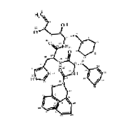 C=C[C@@H](C[C@@H](O)[C@H](CC1CCCCC1)NC(=O)[C@H](Cc1c[nH]cn1)NC(=O)[C@H](Cc1ccccc1)NC(=O)N(Cc1ccccc1)Cc1ccccc1)C(C)C